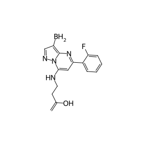 Bc1cnn2c(NCCC(=C)O)cc(-c3ccccc3F)nc12